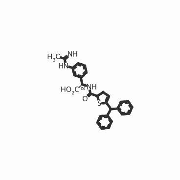 CC(=N)Nc1cccc([C@H](NC(=O)C2CC=C(C(c3ccccc3)c3ccccc3)S2)C(=O)O)c1